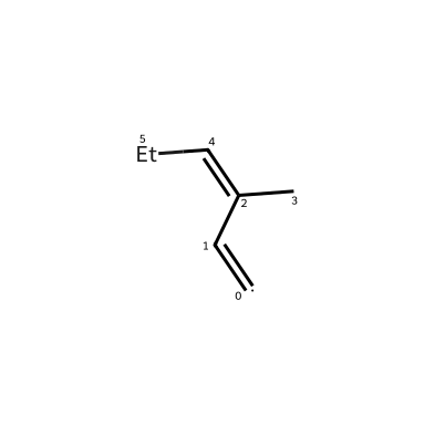 [CH]=CC(C)=CCC